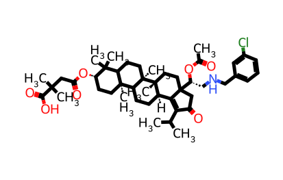 CC(=O)O[C@H](CNCc1cccc(Cl)c1)C12CC[C@]3(C)[C@H](CCC4[C@@]5(C)CC[C@H](OC(=O)CC(C)(C)C(=O)O)C(C)(C)C5CC[C@]43C)C1=C(C(C)C)C(=O)C2